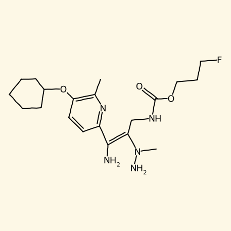 Cc1nc(/C(N)=C(\CNC(=O)OCCCF)N(C)N)ccc1OC1CCCCC1